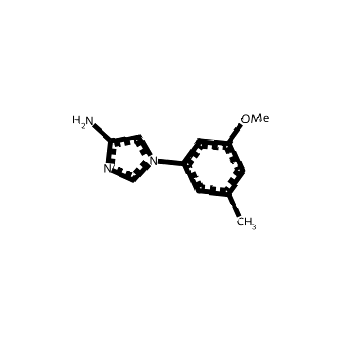 COc1cc(C)cc(-n2cnc(N)c2)c1